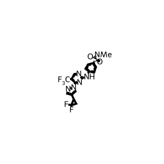 CNS(=O)(=O)c1ccc(Nc2ncc(C(F)(F)F)c(-n3cc(C4CC4(F)F)cn3)n2)cc1